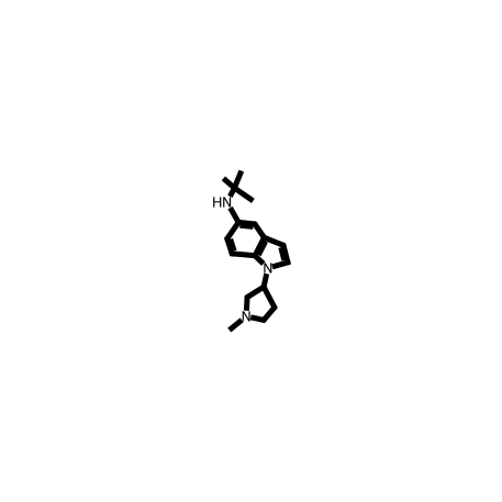 CN1CCC(n2ccc3cc(NC(C)(C)C)ccc32)C1